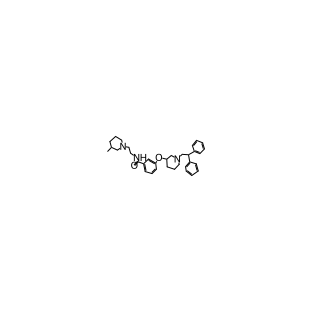 CC1CCCN(CCNC(=O)c2cccc(OC3CCCN(CC(c4ccccc4)c4ccccc4)C3)c2)C1